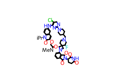 CNC(=O)COc1cc2cc(Nc3nc(N4CCC(CN5CCC6(CN(c7cccc8c7C(=O)N(C7CCC(=O)NC7=O)C8=O)C6)C(F)C5)CC4)ncc3Cl)ccc2n(C(C)C)c1=O